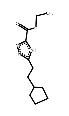 CCOC(=O)c1nnc(CCC2CCCC2)[nH]1